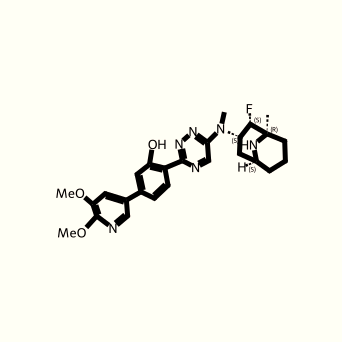 COc1cc(-c2ccc(-c3ncc(N(C)[C@H]4C[C@@H]5CCC[C@@](C)(N5)[C@H]4F)nn3)c(O)c2)cnc1OC